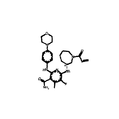 C=CC(=O)N1CCCC[C@@H](Nc2nc(Nc3ccc(N4CCOCC4)cc3)c(C(N)=O)c(C)c2F)C1